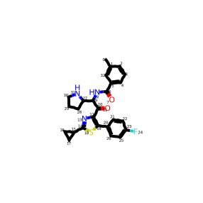 Cc1cccc(C(=O)NC(C(=O)c2nc(C3CC3)sc2-c2ccc(F)cc2)C2CCCN2)c1